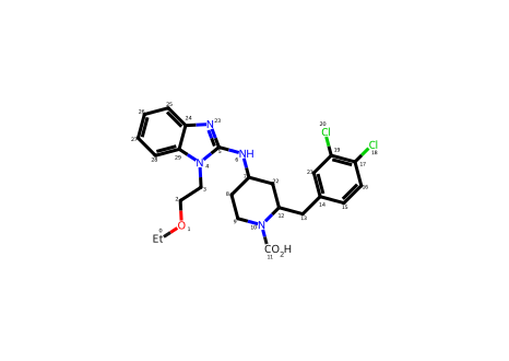 CCOCCn1c(NC2CCN(C(=O)O)C(Cc3ccc(Cl)c(Cl)c3)C2)nc2ccccc21